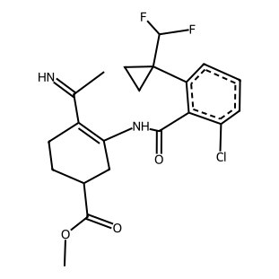 COC(=O)C1CCC(C(C)=N)=C(NC(=O)c2c(Cl)cccc2C2(C(F)F)CC2)C1